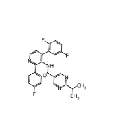 CC(C)c1ncc(C(=O)Nc2c(-c3cc(F)ccc3F)ccnc2-c2ccc(F)cc2)cn1